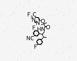 CC(c1ccc(F)cc1)C(CNC(=O)C(C)(C)Oc1cc(C(F)(F)F)ncn1)c1cc(F)cc(C#N)c1